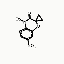 CCN1C(=O)C2(CC2)Oc2cc([N+](=O)[O-])ccc21